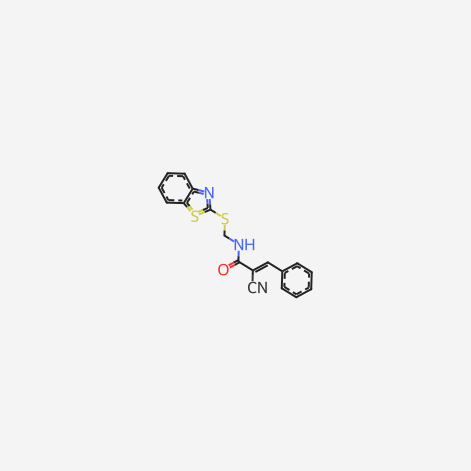 N#CC(=Cc1ccccc1)C(=O)NCSc1nc2ccccc2s1